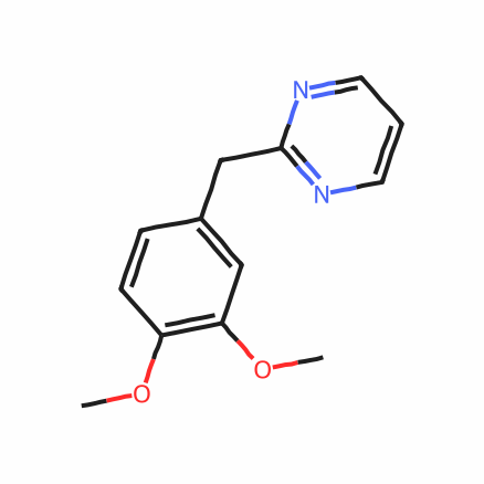 COc1ccc(Cc2ncccn2)cc1OC